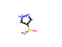 C[S+]([O-])c1cn[nH]c1